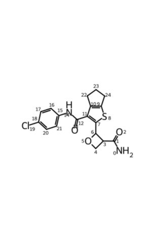 NC(=O)C1COC1c1sc2c(c1C(=O)Nc1ccc(Cl)cc1)CCC2